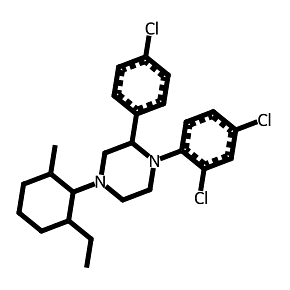 CCC1CCCC(C)C1N1CCN(c2ccc(Cl)cc2Cl)C(c2ccc(Cl)cc2)C1